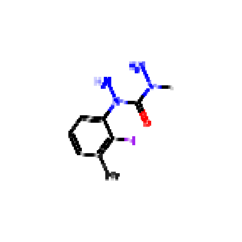 CCCc1cccc(N(N)C(=O)N(C)N)c1I